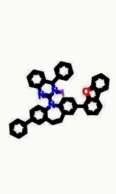 IN1C(N2c3ccc(-c4ccccc4)cc3C=Cc3cc(-c4cccc5c4oc4ccccc45)ccc32)=Nc2ccccc2C1c1ccccc1